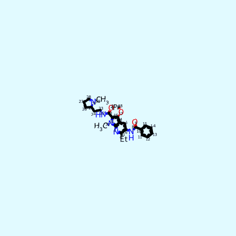 CCc1nc2c(cc1NC(=O)c1ccccc1)c(OC(C)C)c(C(=O)NCCC1CCCN1C)n2C